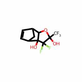 OC12C3C=CC(C3)C1OC(O)(C(F)(F)F)C2(F)F